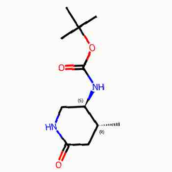 C[C@@H]1CC(=O)NC[C@H]1NC(=O)OC(C)(C)C